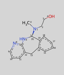 CN(CCO)[C@@H]1Nc2ncccc2Cc2ccccc21